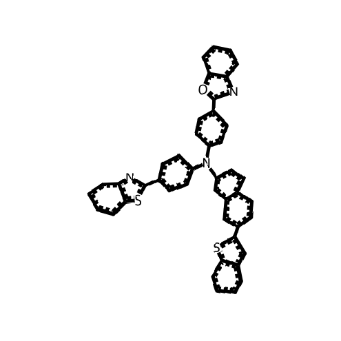 c1ccc2sc(-c3ccc4ccc(N(c5ccc(-c6nc7ccccc7o6)cc5)c5ccc(-c6nc7ccccc7s6)cc5)cc4c3)cc2c1